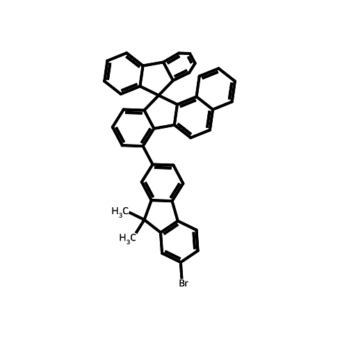 CC1(C)c2cc(Br)ccc2-c2ccc(-c3cccc4c3-c3ccc5ccccc5c3C43c4ccccc4-c4ccccc43)cc21